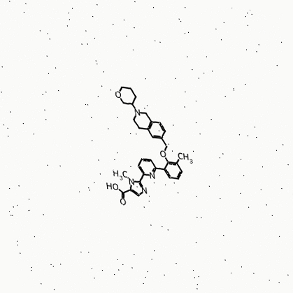 Cc1cccc(-c2cccc(-c3ncc(C(=O)O)n3C)n2)c1OCc1ccc2c(c1)CCN(C1CCCOC1)C2